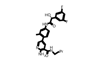 Cc1cc(NC(=O)[C@H](O)c2cc(F)cc(F)c2)ccc1-c1cnc(N)c(C(=O)NCC(C)C)c1